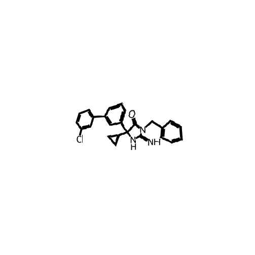 N=C1NC(c2cccc(-c3cccc(Cl)c3)c2)(C2CC2)C(=O)N1Cc1ccccc1